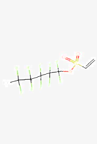 C=CS(=O)(=O)OC(F)(F)C(F)(F)C(F)(F)C(F)(F)C(F)(F)C(F)(F)F